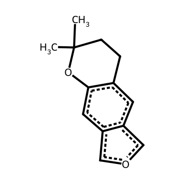 CC1(C)CCc2cc3cocc3cc2O1